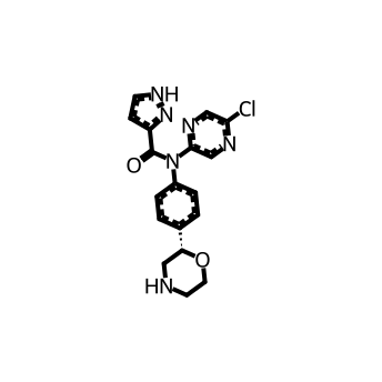 O=C(c1cc[nH]n1)N(c1ccc([C@H]2CNCCO2)cc1)c1cnc(Cl)cn1